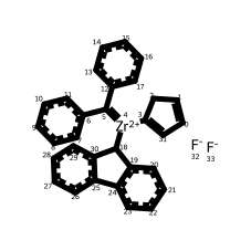 C1=CC[C]([Zr+2](=[C](c2ccccc2)c2ccccc2)[CH]2c3ccccc3-c3ccccc32)=C1.[F-].[F-]